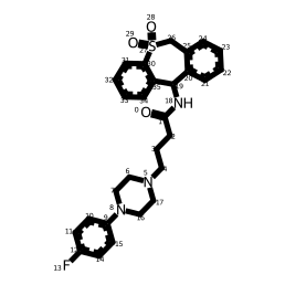 O=C(CCCN1CCN(c2ccc(F)cc2)CC1)NC1c2ccccc2CS(=O)(=O)c2ccccc21